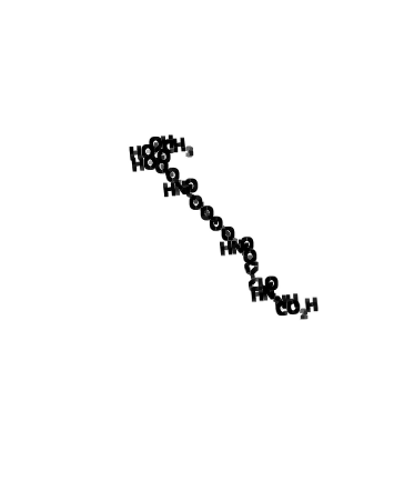 C[C@@H]1O[C@@H](OCCOCCNC(=O)CCOCCOCCOCCOCCNC(=O)COc2ccc(-c3cccc(C(=O)NCCNC(=O)O)c3)cc2)[C@H](O)[C@H](O)[C@H]1O